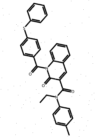 CCN(C(=O)c1cc2ccccc2n(C(=O)c2ccc(Sc3ccccc3)cc2)c1=O)c1ccc(C)cc1